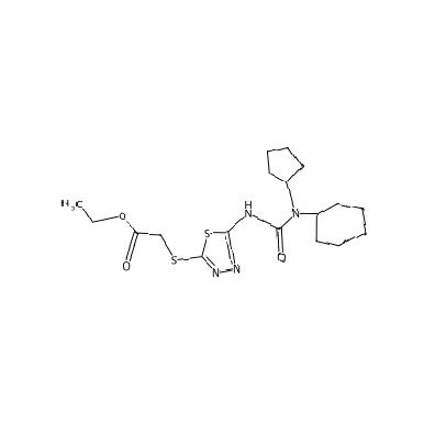 CCOC(=O)CSc1nnc(NC(=O)N(C2CCCCC2)C2CCCC2)s1